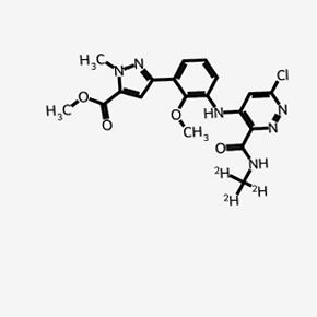 [2H]C([2H])([2H])NC(=O)c1nnc(Cl)cc1Nc1cccc(-c2cc(C(=O)OC)n(C)n2)c1OC